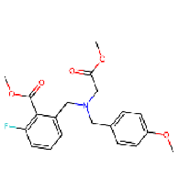 COC(=O)CN(Cc1ccc(OC)cc1)Cc1cccc(F)c1C(=O)OC